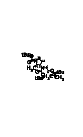 C[C@H]1[C@@H](N(CCO[Si](C)(C)C(C)(C)C)C(=O)OC(C)(C)C)CCN1C(=O)OC(C)(C)C